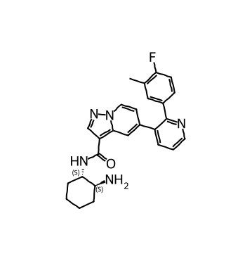 Cc1cc(-c2ncccc2-c2ccn3ncc(C(=O)N[C@H]4CCCC[C@@H]4N)c3c2)ccc1F